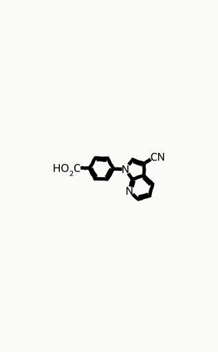 N#Cc1cn(-c2ccc(C(=O)O)cc2)c2ncccc12